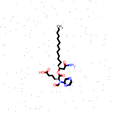 CCCCCCCCCCCCC[C@@H](CC(N)=O)OC(=O)[C@H](CCCC(=O)O)N(C=O)c1cnccn1